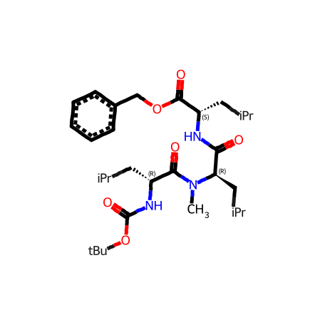 CC(C)C[C@H](NC(=O)[C@@H](CC(C)C)N(C)C(=O)[C@@H](CC(C)C)NC(=O)OC(C)(C)C)C(=O)OCc1ccccc1